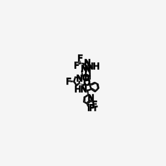 CC(C)c1ccc([C@@H](NC(=O)[C@@H]2C[C@@H](F)CN2C(=O)CN2NNN=C2C(F)F)c2ccccc2)nc1F